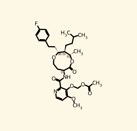 COc1ccnc(C(=O)N[C@H]2CCO[C@H](CCc3ccc(F)cc3)[C@@H](CCC(C)C)[C@H](C)OC2=O)c1OCOC(C)=O